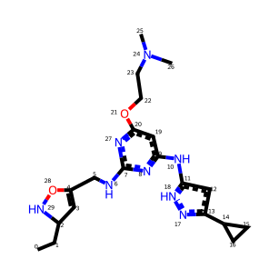 CCC1C=C(CNc2nc(Nc3cc(C4CC4)n[nH]3)cc(OCCN(C)C)n2)ON1